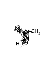 C=CCN1CC(NCC2CCCO2)[N+]([O-])(c2nnc(S(C)(=O)=O)s2)C1